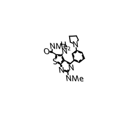 CNC(=O)c1sc2nc(NC)nc(-c3cccc(N4CCCC4)c3)c2c1N